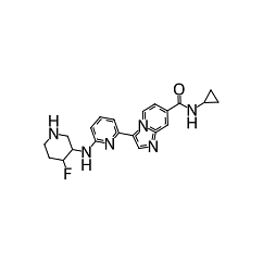 O=C(NC1CC1)c1ccn2c(-c3cccc(NC4CNCCC4F)n3)cnc2c1